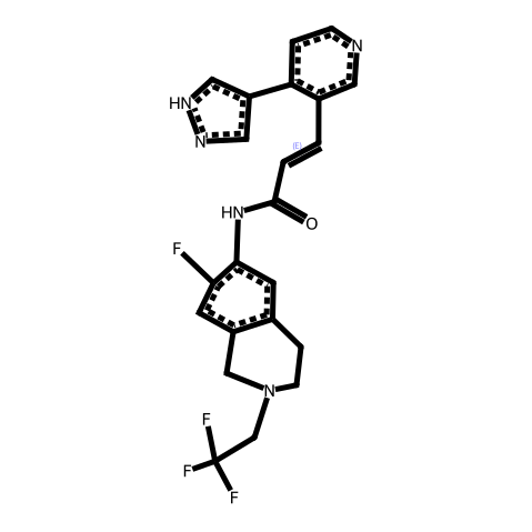 O=C(/C=C/c1cnccc1-c1cn[nH]c1)Nc1cc2c(cc1F)CN(CC(F)(F)F)CC2